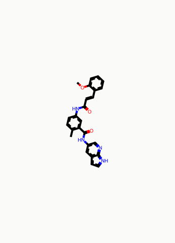 COc1ccccc1C=CC(=O)Nc1ccc(C)c(C(=O)Nc2cnc3[nH]ccc3c2)c1